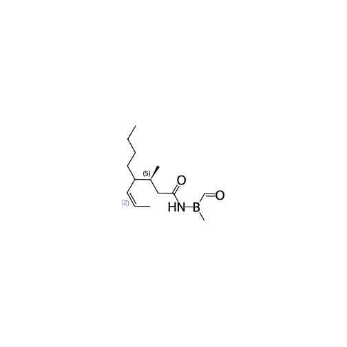 C/C=C\C(CCCC)[C@@H](C)CC(=O)NB(C)C=O